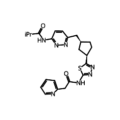 CC(C)C(=O)Nc1ccc(C[C@H]2CC[C@@H](c3nnc(NC(=O)Cc4ccccn4)s3)C2)nn1